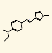 CCN(C)c1ccc(/C=C/c2ccn(C)c2)cc1